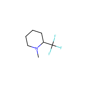 CN1CCCCC1C(F)(F)F